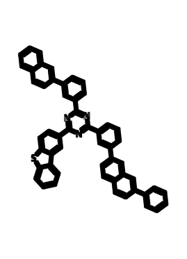 c1ccc(-c2ccc3ccc(-c4cccc(-c5nc(-c6cccc(-c7ccc8ccccc8c7)c6)nc(-c6ccc7sc8ccccc8c7c6)n5)c4)cc3c2)cc1